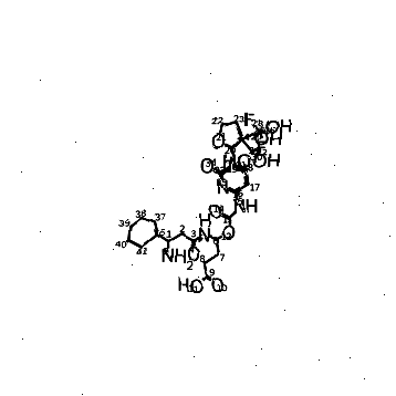 NC(CC(=O)NC(CCC(=O)O)OC(=O)Nc1ccn(C2OCCC2(C(O)(O)F)C(O)(O)F)c(=O)n1)C1CCCCC1